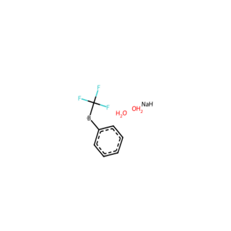 FC(F)(F)[B]c1ccccc1.O.O.[NaH]